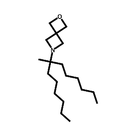 CCCCCCC(C)(CCCCCC)N1CC2(COC2)C1